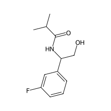 CC(C)C(=O)NC(CO)c1cccc(F)c1